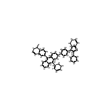 CC1CC=Cc2cc(-c3c4ccccc4c(C4=CC=CCC4)c4cc(-c5ccc(-n6c(-c7ccccc7)nc7c6CCC=C7)cc5)ccc34)ccc21